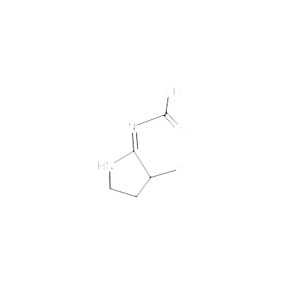 CC(=O)N=C1NCCC1[S]